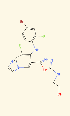 OCCNc1nnc(-c2cn3ccnc3c(F)c2Nc2ccc(Br)cc2F)o1